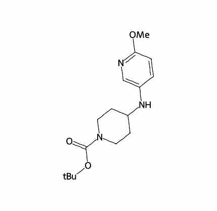 COc1ccc(NC2CCN(C(=O)OC(C)(C)C)CC2)cn1